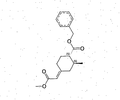 COC(=O)C=C1CC[C@H](C(=O)OCc2ccccc2)[C@@H](C)C1